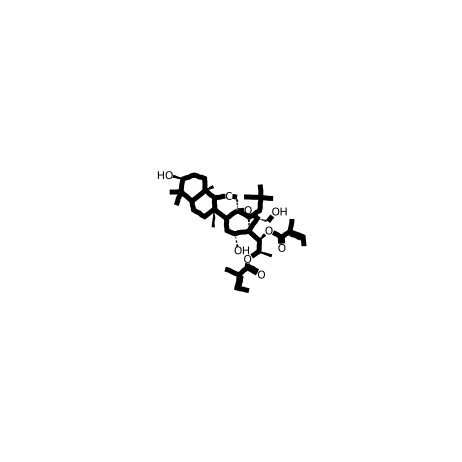 C/C=C(/C)C(=O)O[C@H](C)[C@H](OC(=O)/C(C)=C\C)[C@@]12C(CC(C)(C)C)[C@]3(CCC4[C@@]5(C)CC[C@H](O)C(C)(C)C5CC[C@@]4(C)C3C[C@H]1O)O[C@@H]2CO